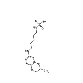 CC1COc2ccc(NCCCCCNS(=O)(=O)C(C)C)cc2O1